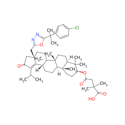 CC(C)C1=C2[C@H]3CC[C@@H]4[C@@]5(C)CC[C@H](OC(=O)CC(C)(C)C(=O)O)C(C)(C)[C@@H]5CC[C@@]4(C)[C@]3(C)CC[C@@]2(Cc2nnc(C(C)(C)c3ccc(Cl)cc3)o2)CC1=O